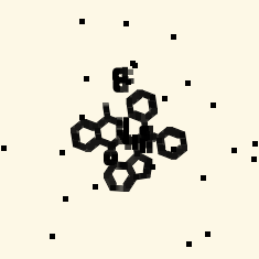 CC(C)c1ccccc1C(=O)[NH][Hf+2]([CH]1C=Cc2ccccc21)[SiH](c1ccccc1)c1ccccc1.[Cl-].[Cl-]